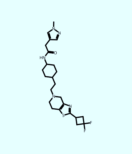 Cn1cc(CC(=O)NC2CCC(CCN3CCc4sc(C5CC(F)(F)C5)nc4C3)CC2)cn1